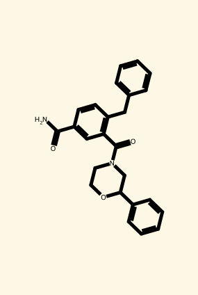 NC(=O)c1ccc(Cc2ccccc2)c(C(=O)N2CCOC(c3ccccc3)C2)c1